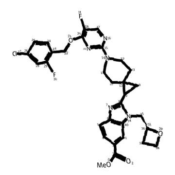 COC(=O)c1ccc2nc(C3CC34CCN(c3ncc(F)c(OCc5ccc(Cl)cc5F)n3)CC4)n(C[C@@H]3CCO3)c2c1